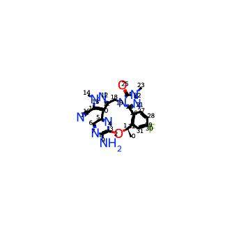 C[C@H]1Oc2nc(cnc2N)-c2c(nn(C)c2C#N)Cn2c(nn(C)c2=O)-c2ccc(F)cc21